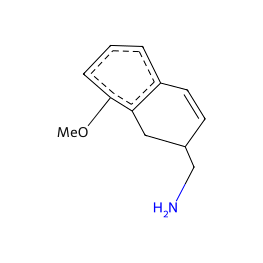 COc1cccc2c1CC(CN)C=C2